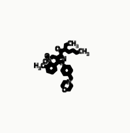 CCCCC(CC)C(=O)c1nn(-c2ccc(CN3CCOCC3)cc2)c2c1CS(=O)(=O)c1c(C)cccc1-2